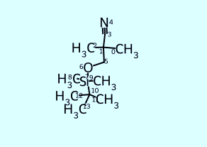 CC(C)(C#N)CO[Si](C)(C)C(C)(C)C